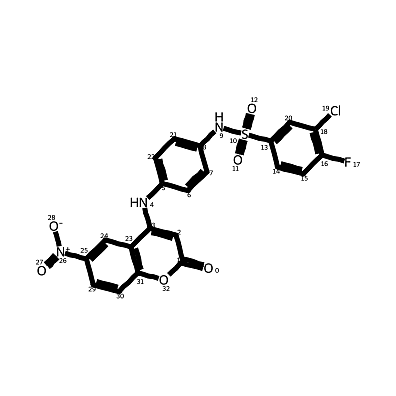 O=c1cc(Nc2ccc(NS(=O)(=O)c3ccc(F)c(Cl)c3)cc2)c2cc([N+](=O)[O-])ccc2o1